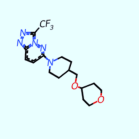 FC(F)(F)c1nnc2ccc(N3CCC(COC4CCOCC4)CC3)nn12